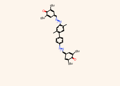 Cc1cc(-c2ccc(/N=N/C=C3C=C(C(C)(C)C)C(=O)C(C(C)(C)C)=C3)cc2)c(C)cc1/N=N/C=C1C=C(C(C)(C)C)C(=O)C(C(C)(C)C)=C1